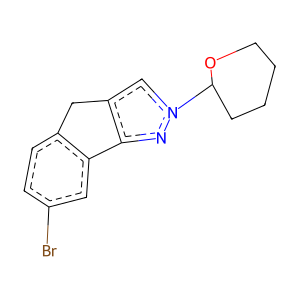 Brc1ccc2c(c1)-c1nn(C3CCCCO3)cc1C2